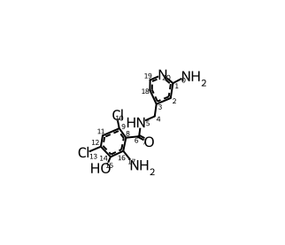 Nc1cc(CNC(=O)c2c(Cl)cc(Cl)c(O)c2N)ccn1